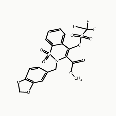 COC(=O)C1=C(OS(=O)(=O)C(F)(F)F)c2ccccc2S(=O)(=O)N1Cc1ccc2c(c1)OCO2